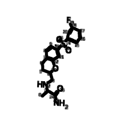 CC(NCC1CCc2ccc(S(=O)(=O)c3cccc(F)c3)cc2O1)C(N)=O